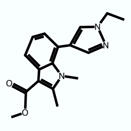 CCn1cc(-c2cccc3c(C(=O)OC)c(C)n(C)c23)cn1